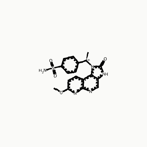 COc1ccc2c(ncc3[nH]c(=O)n([C@H](C)c4ccc(S(N)(=O)=O)cc4)c32)n1